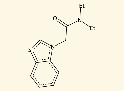 CCN(CC)C(=O)C[n+]1csc2ccccc21